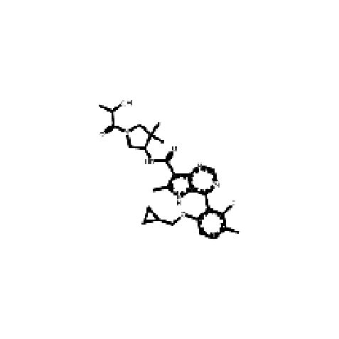 Cc1ccc(OCC2CC2)c(-c2ncnc3c(C(=O)NC4CN(C(=O)C(C)O)CC4(C)C)c(C)[nH]c23)c1F